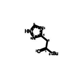 CC(C)(C)C(=O)Cc1nc[nH]n1